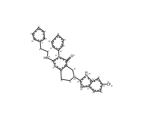 O=c1c2c(nc(NCCc3ccccc3)n1-c1ccccc1)CCN(c1nc3ccc(C(F)(F)F)cc3[nH]1)C2